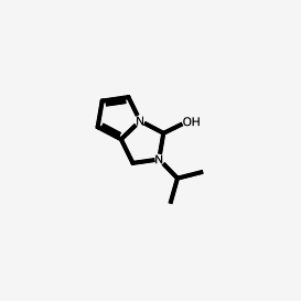 CC(C)N1Cc2cccn2C1O